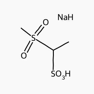 CC(S(C)(=O)=O)S(=O)(=O)O.[NaH]